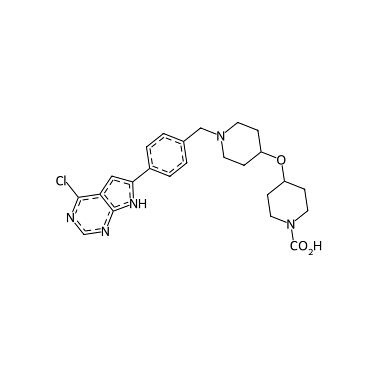 O=C(O)N1CCC(OC2CCN(Cc3ccc(-c4cc5c(Cl)ncnc5[nH]4)cc3)CC2)CC1